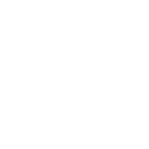 C[N+]1(C)CCC(OC(=O)C(c2ccccc2)c2ccccc2)CC1Br